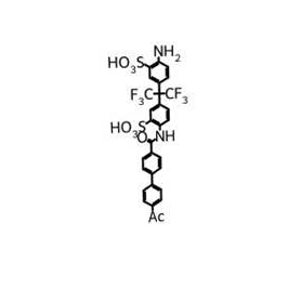 CC(=O)c1ccc(-c2ccc(C(=O)Nc3ccc(C(c4ccc(N)c(S(=O)(=O)O)c4)(C(F)(F)F)C(F)(F)F)cc3S(=O)(=O)O)cc2)cc1